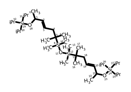 CC(C=CCC(C)(C)[Si](C)(C)O[Si](C)(C)C(C)(C)CC=CC(C)O[Si](C(C)C)(C(C)C)C(C)C)O[Si](C(C)C)(C(C)C)C(C)C